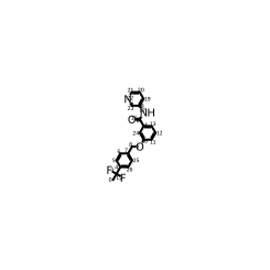 CC(F)(F)c1ccc(COc2cccc(C(=O)Nc3cccnc3)c2)cc1